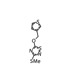 CSc1nsc(OCc2ccsc2)n1